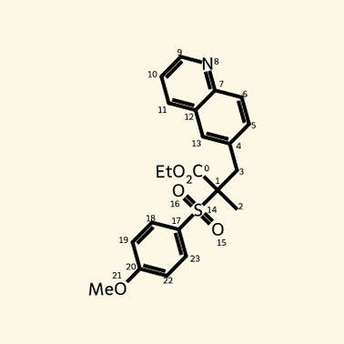 CCOC(=O)C(C)(Cc1ccc2ncccc2c1)S(=O)(=O)c1ccc(OC)cc1